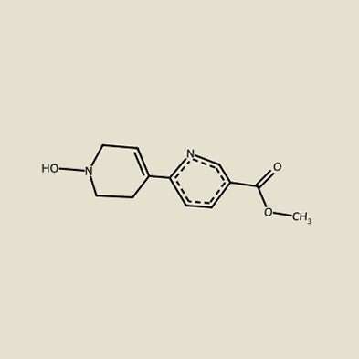 COC(=O)c1ccc(C2=CCN(O)CC2)nc1